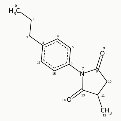 CCCc1ccc(N2C(=O)CC(C)C2=O)cc1